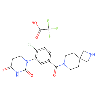 O=C(O)C(F)(F)F.O=C1CCN(c2cc(C(=O)N3CCC4(CC3)CNC4)ccc2Cl)C(=O)N1